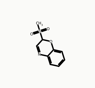 CS(=O)(=O)C1C=Nc2ccccc2O1